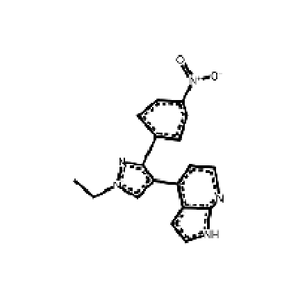 CCn1cc(-c2ccnc3[nH]ccc23)c(-c2ccc([N+](=O)[O-])cc2)n1